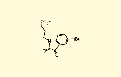 CCOC(=O)CCCN1C(=O)C(=O)c2cc(C(C)(C)C)ccc21